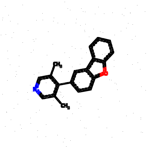 Cc1cncc(C)c1-c1ccc2oc3ccccc3c2c1